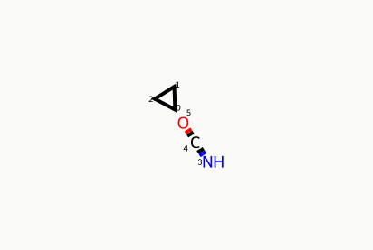 C1CC1.N=C=O